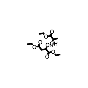 CCOC(=O)C(C)O.CCOC(=O)CC(O)C(=O)OCC